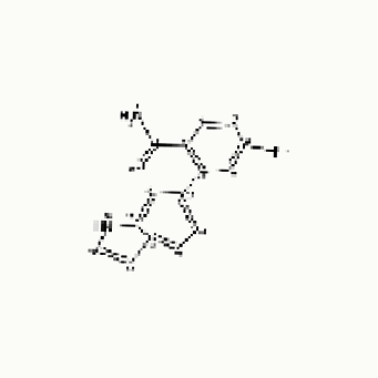 NC(=O)c1ccc(F)cc1-c1ccc2cc[nH]c2c1